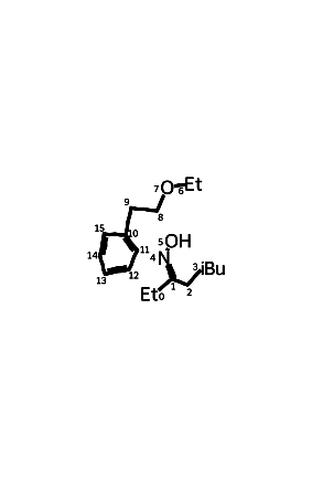 CCC(CC(C)CC)=NO.CCOCCc1ccccc1